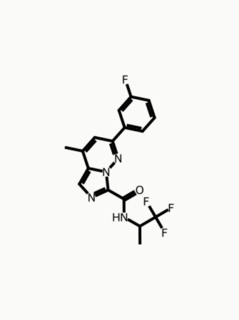 Cc1cc(-c2cccc(F)c2)nn2c(C(=O)NC(C)C(F)(F)F)ncc12